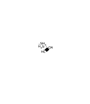 C#C.[SiH4].[SiH4]